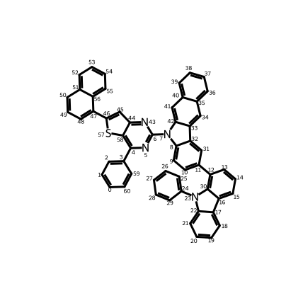 c1ccc(-c2nc(-n3c4ccc(-c5cccc6c7ccccc7n(-c7ccccc7)c56)cc4c4cc5ccccc5cc43)nc3cc(-c4cccc5ccccc45)sc23)cc1